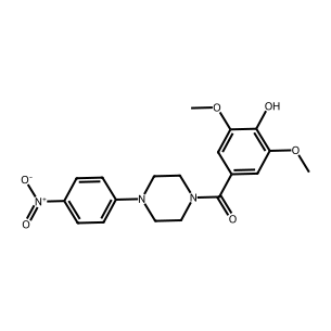 COc1cc(C(=O)N2CCN(c3ccc([N+](=O)[O-])cc3)CC2)cc(OC)c1O